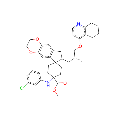 COC(=O)C1(Nc2cccc(Cl)c2)CCC2(CC1)c1cc3c(cc1CC2C[C@@H](C)COc1ccnc2c1CCCC2)OCCO3